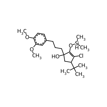 COc1ccc(CCCC2(O)CC(C(C)(C)C)C(Cl)=C2O[SiH](C)C)cc1OC